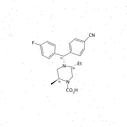 CC[C@@H]1CN(C(=O)O)[C@@H](C)CN1[C@H](c1ccc(F)cc1)c1ccc(C#N)cc1